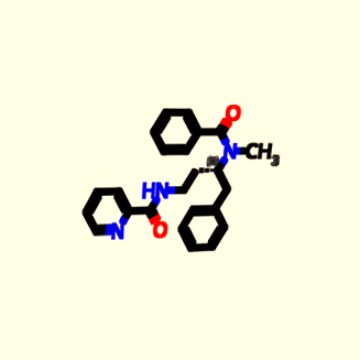 CN(C(=O)c1ccccc1)[C@@H](CCNC(=O)c1ccccn1)Cc1ccccc1